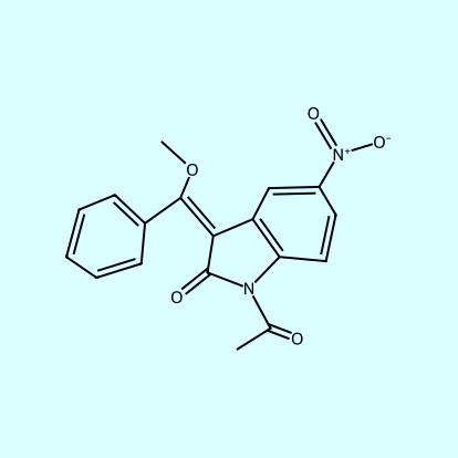 CO/C(=C1/C(=O)N(C(C)=O)c2ccc([N+](=O)[O-])cc21)c1ccccc1